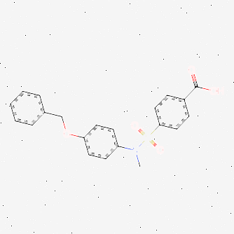 CN(c1ccc(OCc2ccccc2)cc1)S(=O)(=O)c1ccc(C(=O)O)cc1